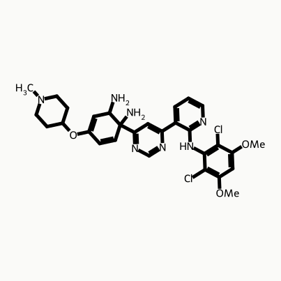 COc1cc(OC)c(Cl)c(Nc2ncccc2-c2cc(C3(N)C=CC(OC4CCN(C)CC4)=CC3N)ncn2)c1Cl